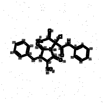 CC(C)(C)C(=O)C(Cl)(C(=O)Nc1ccccc1)N1C(=O)C([N+](=O)[O-])N(Cc2ccccc2)C1=O